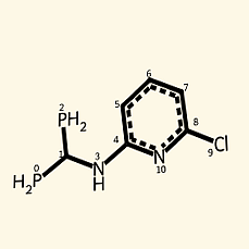 PC(P)Nc1cccc(Cl)n1